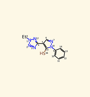 CCn1nnc(-c2cnn(-c3ccccc3)c2S)n1